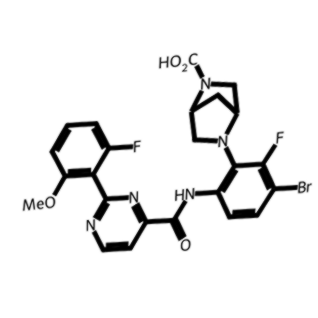 COc1cccc(F)c1-c1nccc(C(=O)Nc2ccc(Br)c(F)c2N2CC3CC2CN3C(=O)O)n1